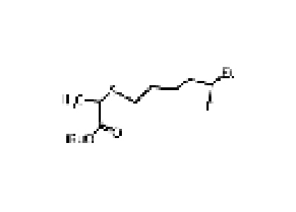 CCC(F)CCCCSC(C)C(=O)OCC(C)C